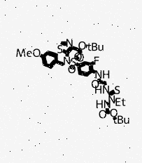 CCN(NC(=O)OC(C)(C)C)C(=S)NCC(=O)Nc1ccc(S(=O)(=O)N(Cc2ccc(OC)cc2)c2scnc2C(=O)OC(C)(C)C)cc1F